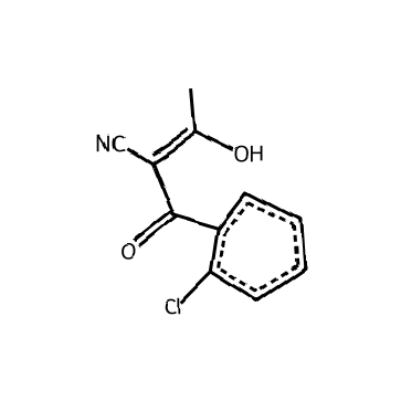 CC(O)=C(C#N)C(=O)c1ccccc1Cl